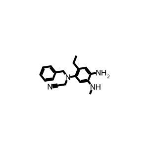 CCc1cc(N)c(NC)cc1N(CC#N)Cc1ccccc1